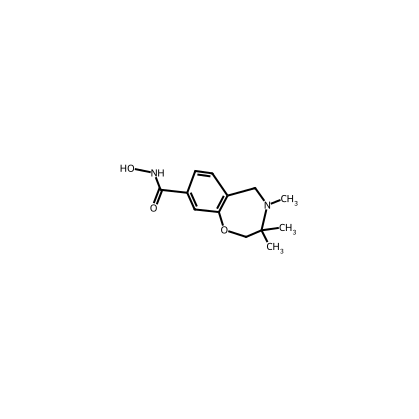 CN1Cc2ccc(C(=O)NO)cc2OCC1(C)C